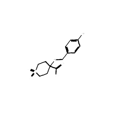 O=C(O)C1(NCc2ccc(Br)cc2)CCS(=O)(=O)CC1